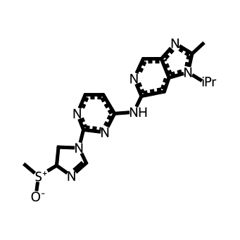 Cc1nc2cnc(Nc3ccnc(N4C=NC([S+](C)[O-])C4)n3)cc2n1C(C)C